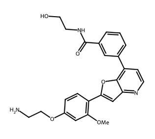 COc1cc(OCCN)ccc1-c1cc2nccc(-c3cccc(C(=O)NCCO)c3)c2o1